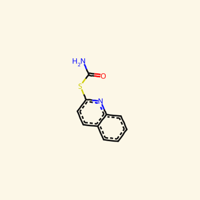 NC(=O)Sc1ccc2ccccc2n1